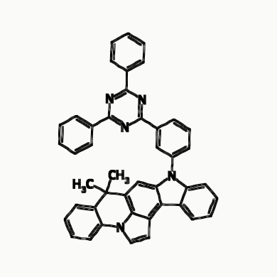 CC1(C)c2ccccc2-n2ccc3c4c5ccccc5n(-c5cccc(-c6nc(-c7ccccc7)nc(-c7ccccc7)n6)c5)c4cc1c32